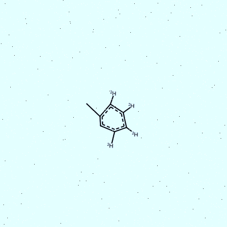 [2H]c1cc(C)c([2H])c([2H])c1[2H]